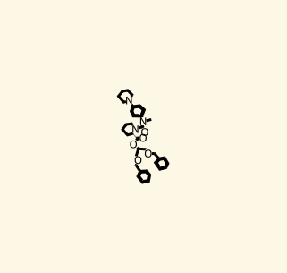 CN(C(=O)N1CCCC[C@H]1C(=O)OC(COCc1ccccc1)COCc1ccccc1)c1ccc(N2CCCCC2)cc1